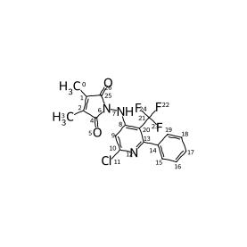 CC1=C(C)C(=O)N(Nc2cc(Cl)nc(-c3ccccc3)c2C(F)(F)F)C1=O